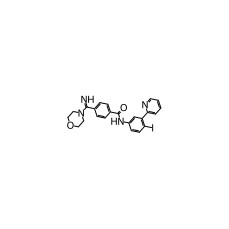 N=C(c1ccc(C(=O)Nc2ccc(I)c(-c3ccccn3)c2)cc1)N1CCOCC1